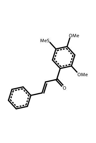 COc1cc(OC)c(C(=O)C=Cc2ccccc2)cc1SC